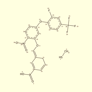 CS.O=C(O)C1=CC(=COc2cc(Oc3ccc(C(F)(F)F)cc3F)ccc2[N+](=O)[O-])CC=C1